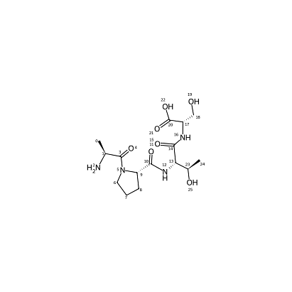 C[C@H](N)C(=O)N1CCC[C@H]1C(=O)N[C@H](C(=O)N[C@@H](CO)C(=O)O)[C@@H](C)O